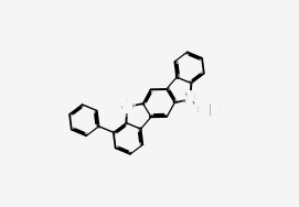 Cn1c2ccccc2c2cc3oc4c(-c5ccccc5)cccc4c3cc21